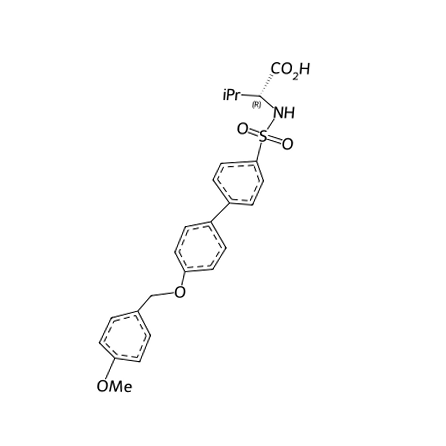 COc1ccc(COc2ccc(-c3ccc(S(=O)(=O)N[C@@H](C(=O)O)C(C)C)cc3)cc2)cc1